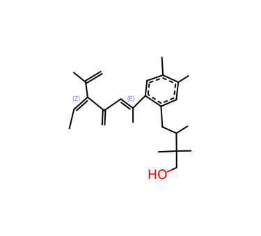 C=C(C)/C(=C/C)C(=C)/C=C(\C)c1cc(C)c(C)cc1CC(C)C(C)(C)CO